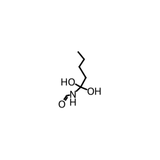 CCCCC(O)(O)NC=O